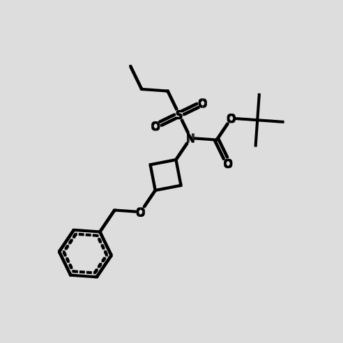 CCCS(=O)(=O)N(C(=O)OC(C)(C)C)C1CC(OCc2ccccc2)C1